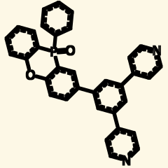 O=P1(c2ccccc2)c2ccccc2Oc2ccc(-c3cc(-c4ccncc4)cc(-c4ccncc4)c3)cc21